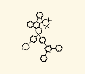 CC1(C)CC(C)(C)CC2(C1)c1ccccc1-c1c2c2c(c3ccccc13)OC(c1ccc(-c3nc(-c4ccccc4)nc(-c4ccccc4)n3)cc1)(c1ccc(N3CCOCC3)cc1)C=C2